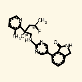 C[C@@H](F)C[C@](C)(CNc1ncc(-c2cccc3c2C(=O)NC3)cn1)c1ncccc1F